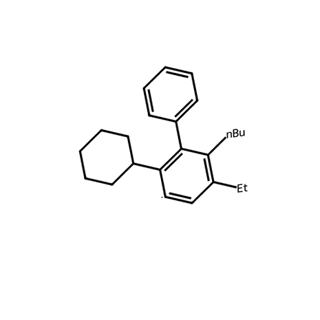 CCCCc1c(CC)c[c]c(C2CCCCC2)c1-c1ccccc1